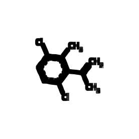 C=C(C)c1c(Cl)ccc(Cl)c1C